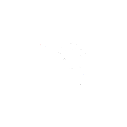 COc1cc(-c2cccc(-c3cccc(-c4ccc(CNC[C@@H]5CCC(=O)N5)c(OC)n4)c3Cl)c2Cl)cc2c1CN(CC(O)C(C)C)CC2